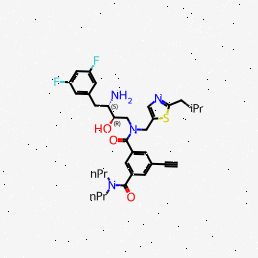 C#Cc1cc(C(=O)N(CCC)CCC)cc(C(=O)N(Cc2cnc(CC(C)C)s2)C[C@@H](O)[C@@H](N)Cc2cc(F)cc(F)c2)c1